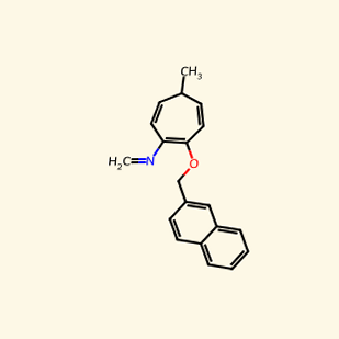 C=NC1=C(OCc2ccc3ccccc3c2)C=CC(C)C=C1